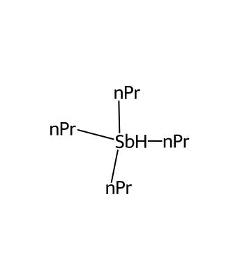 CC[CH2][SbH]([CH2]CC)([CH2]CC)[CH2]CC